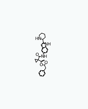 O=C(Nc1ccc2[nH]c(C3CCCCN3)cc2c1)C1(C2=COC(Cc3ccccc3)O2)CC1